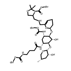 C[C@@H]1CO[C@H](O[C@@H]2[C@@H](O)[C@H](O[C@@H]3CCC=C(CNCC4COC(C)(C)N4C(=O)OC(C)(C)C)O3)[C@@H](NC(=O)OC(C)(C)C)C[C@H]2NC(=O)CCCNC(=O)OC(C)(C)C)[C@H](O)C1